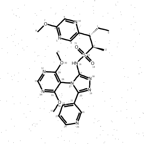 CC[C@@H](c1cnc(OC)cn1)[C@@H](C)S(=O)(=O)Nc1nnc(-c2cccnc2)n1-c1c(OC)ncnc1OC